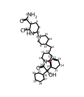 NC(=O)C1CCC(N2CCC(CC3CCN(C(=O)C(O)(C4=CC=CCC4)C4CCCCC4)CC3)CC2)NC1Cl